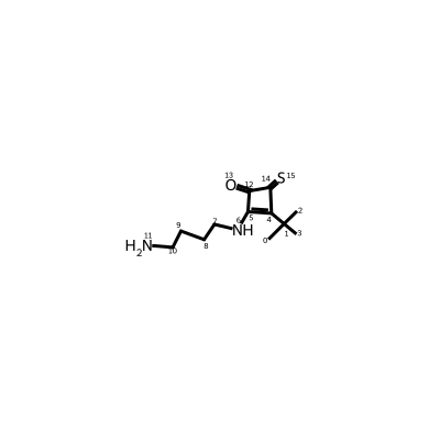 CC(C)(C)c1c(NCCCCN)c(=O)c1=S